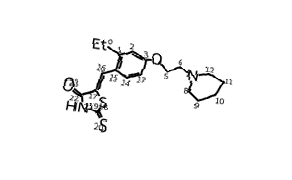 CCc1cc(OCCN2CCCCC2)ccc1/C=C1\SC(=S)NC1=O